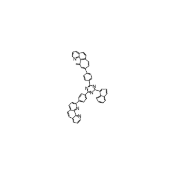 C=C1C=C(c2ccc(-c3nc(-c4ccc(-c5ccc6ccc7cccnc7c6n5)cc4)nc(-c4cccc5ccccc45)n3)cc2)C=Cc2ccc3cccnc3c21